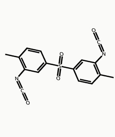 Cc1ccc(S(=O)(=O)c2ccc(C)c(N=C=O)c2)cc1N=C=O